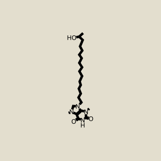 CC(O)CCCCCCCCCCCCCCCN1CN(C)c2c1n(C)c(=O)[nH]c2=O